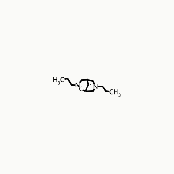 CCCN1C[C]2[CH]C(C1)CN(CCC)C2